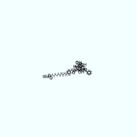 CC(C)(C)OC(=O)CCCCCCCCCCc1ccc(CC(=O)NC[C@@H](O)[C@@H](O)[C@@H]2O[C@@H](OCc3ccccc3)C[C@H](O)[C@H]2NC(=O)CO)cc1